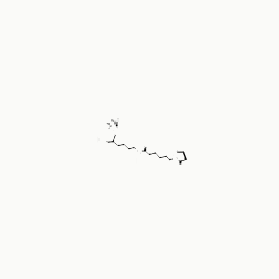 CP(=O)(O)OCC(CO)CCCCNC(=O)CCCCCN1C(=O)C=CC1=O